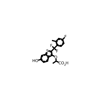 Cc1cc(F)ccc1C(F)(F)c1sc2cc(O)ccc2c1OC(C)C(=O)O